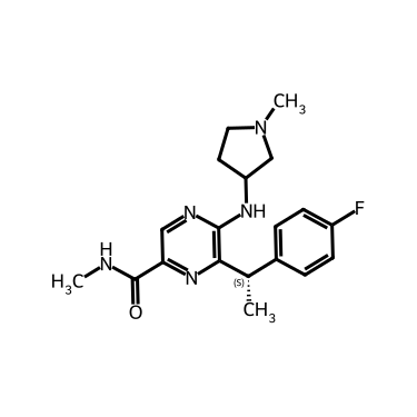 CNC(=O)c1cnc(NC2CCN(C)C2)c([C@@H](C)c2ccc(F)cc2)n1